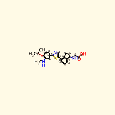 CNC1=C(OC(C)C)C=CC(c2ncc(-c3cccc4c3CC[C@H]4NCC(=O)O)s2)C1